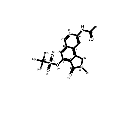 CC(=O)Nc1cc2c3c(c(OS(=O)(=O)C(F)(F)F)cc2cn1)C(=O)N(C)C3